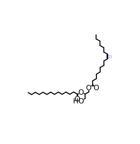 CCCCCC/C=C\CCCCCCCC(=O)OCC(CO)OC(=O)CCCCCCCCCCCCC